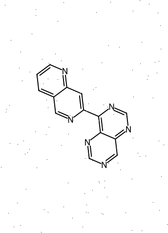 c1cnc2cc(-c3ncnc4cncnc34)ncc2c1